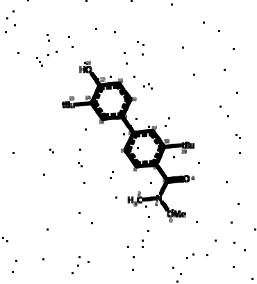 CON(C)C(=O)c1ccc(-c2ccc(O)c(C(C)(C)C)c2)cc1C(C)(C)C